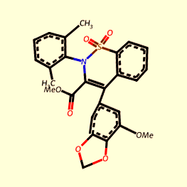 COC(=O)C1=C(c2cc(OC)c3c(c2)OCO3)c2ccccc2S(=O)(=O)N1c1c(C)cccc1C